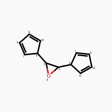 C1=CC(C2OC2C2C=CC=C2)C=C1